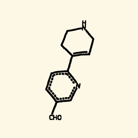 O=Cc1ccc(C2=CCNCC2)nc1